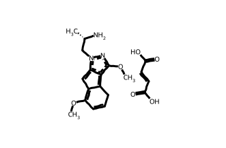 COC1=C2C=c3c(c(OC)nn3C[C@H](C)N)=C2CC=C1.O=C(O)C=CC(=O)O